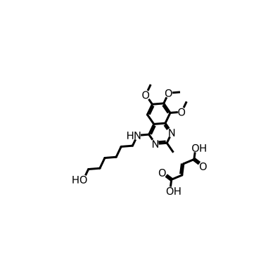 COc1cc2c(NCCCCCCO)nc(C)nc2c(OC)c1OC.O=C(O)C=CC(=O)O